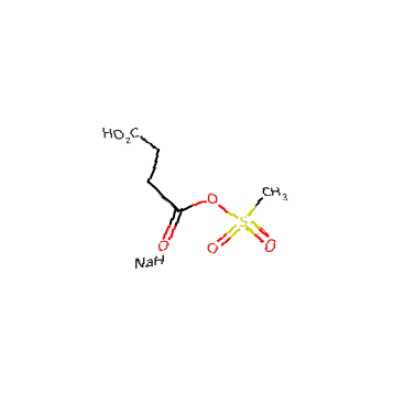 CS(=O)(=O)OC(=O)CCC(=O)O.[NaH]